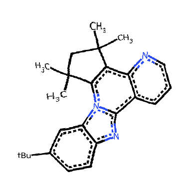 CC(C)(C)c1ccc2nc3c4cccnc4c4c(n3c2c1)C(C)(C)CC4(C)C